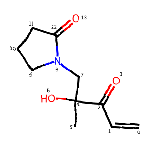 C=CC(=O)C(C)(O)CN1CCCC1=O